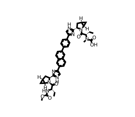 CC[C@H](NC(=O)OC)C(=O)N1[C@@H]2C[C@H]2C[C@H]1c1nc(-c2ccc3cc(-c4ccc(-c5c[nH]c([C@@H]6C[C@H]7C[C@H]7N6C(=O)[C@H](CC)N(C)C(=O)O)n5)cc4)ccc3c2)c[nH]1